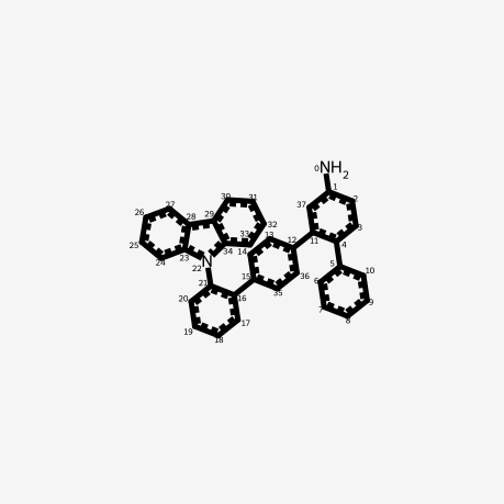 Nc1ccc(-c2ccccc2)c(-c2ccc(-c3ccccc3-n3c4ccccc4c4ccccc43)cc2)c1